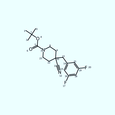 CC(C)(C)OC(=O)N1CCC(C#N)(Cc2cc(F)cc(F)c2)CC1